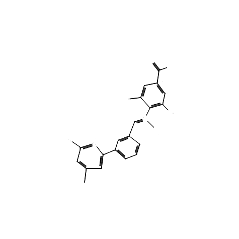 Cc1cc(N)nc(-c2cccc(/C=[N+](\[O-])c3c(O)cc(C(=O)O)cc3O)c2)c1